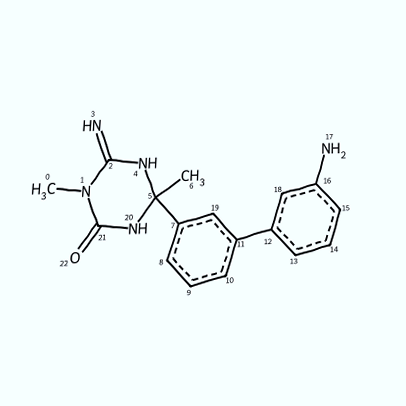 CN1C(=N)NC(C)(c2cccc(-c3cccc(N)c3)c2)NC1=O